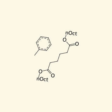 CCCCCCCCOC(=O)CCCCC(=O)OCCCCCCCC.Cc1ccccc1